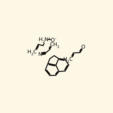 C=CC#N.C=CC=O.C=CC[NH2+][O-].c1cc2c3c(cccc3c1)CC2